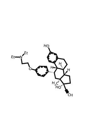 C#C[C@]1(O)CC[C@H]2[C@@H]3CCc4cc(O)ccc4[C@H]3[C@@H](c3ccc(OCCN(CC)CC)cc3)C[C@@]21C